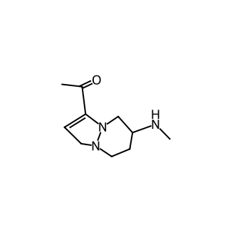 CNC1CCN2CC=C(C(C)=O)N2C1